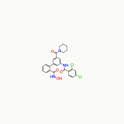 O=C(Nc1cc(C(=O)N2CCCCC2)cc(-c2ccccc2C(=O)NO)c1)c1ccc(Cl)cc1Cl